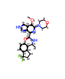 COc1c(N2CCOCC2)nc(C(=O)NC(C)c2cccc3c2CCC3(F)F)c2n[nH]cc12